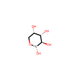 O[C@@H]1[C@@H](O)[13C@H](O)OC[C@@H]1O